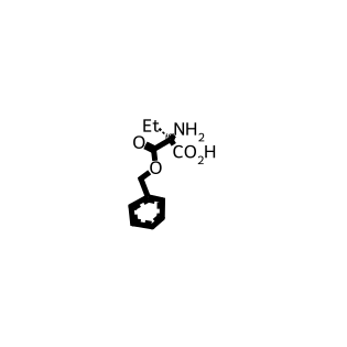 CC[C@](N)(C(=O)O)C(=O)OCc1ccccc1